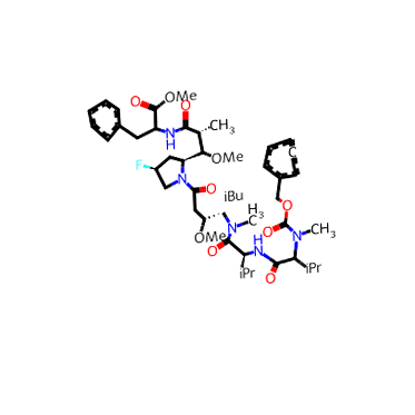 CC[C@H](C)[C@@H](C(CC(=O)N1C[C@@H](F)C[C@H]1C(OC)[C@@H](C)C(=O)NC(Cc1ccccc1)C(=O)OC)OC)N(C)C(=O)[C@@H](NC(=O)C(C(C)C)N(C)C(=O)OCc1ccccc1)C(C)C